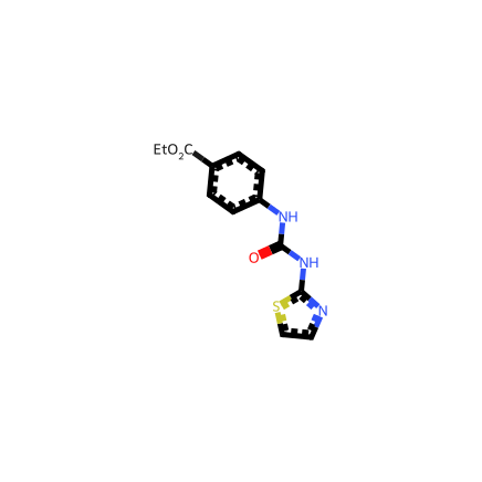 CCOC(=O)c1ccc(NC(=O)Nc2nccs2)cc1